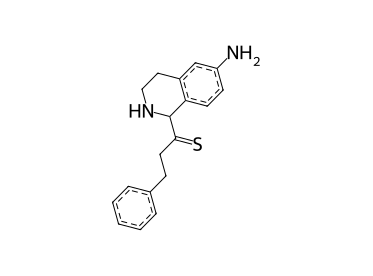 Nc1ccc2c(c1)CCNC2C(=S)CCc1ccccc1